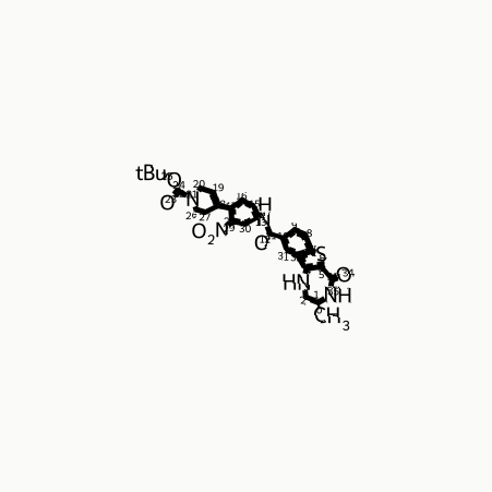 C[C@@H]1CNc2c(sc3ccc(C(=O)Nc4ccc(C5=CCN(C(=O)OC(C)(C)C)CC5)c([N+](=O)[O-])c4)cc23)C(=O)N1